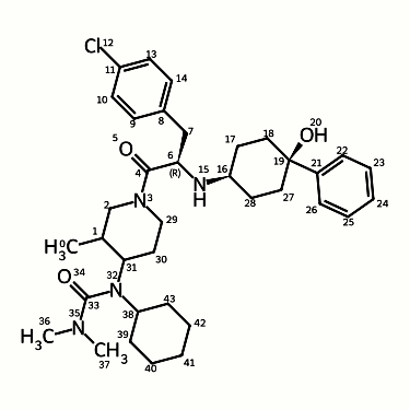 CC1CN(C(=O)[C@@H](Cc2ccc(Cl)cc2)N[C@H]2CC[C@](O)(c3ccccc3)CC2)CCC1N(C(=O)N(C)C)C1CCCCC1